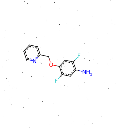 Nc1cc(F)c(OCc2ccccn2)cc1F